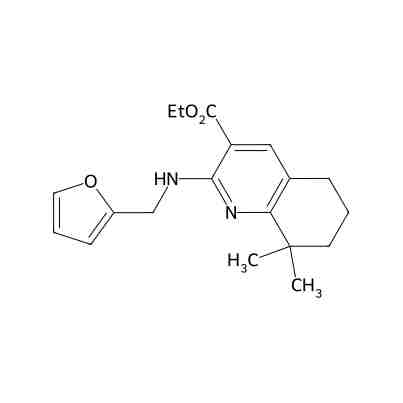 CCOC(=O)c1cc2c(nc1NCc1ccco1)C(C)(C)CCC2